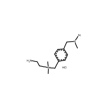 CC(=O)N(C)Cc1ccc(C[N+](C)(C)CCN)cc1.Cl